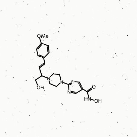 COc1ccc(/C=C/C(CO)N2CCN(c3ncc(C(=O)NO)cn3)CC2)cc1